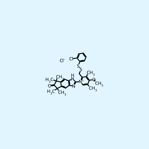 COc1c(C)c[n+](-c2nc3cc4c(cc3[nH]2)C(C)(C)C(=O)C4(C)C)c(CSSc2ccccc2Cl)c1C.[Cl-]